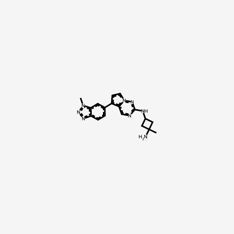 Cn1nnc2ccc(-c3ccn4nc(NC5CC(C)(N)C5)ncc34)cc21